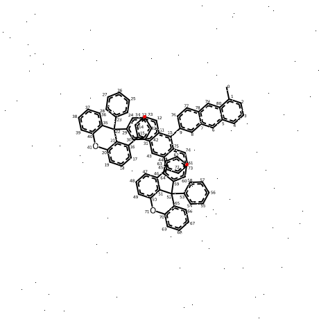 Cc1cccc2cc3cc(-c4c5cccc(-c6cccc7c6C(c6ccccc6)(c6ccccc6)c6ccccc6O7)c5cc5c(-c6cccc7c6C(c6ccccc6)(c6ccccc6)c6ccccc6O7)cccc45)ccc3cc12